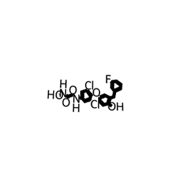 O=C(NO)C(=O)Nc1cc(Cl)c(Oc2ccc(O)c(Cc3cccc(F)c3)c2)c(Cl)c1